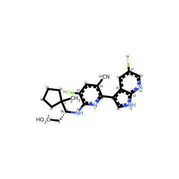 CC1([C@@H](CC(=O)O)Nc2nc(-c3c[nH]c4ncc(F)cc34)c(C#N)cc2F)CCCC1